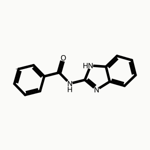 O=C(Nc1nc2ccccc2[nH]1)c1c[c]ccc1